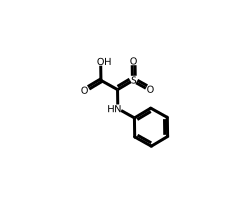 O=C(O)C(Nc1ccccc1)=S(=O)=O